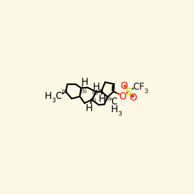 C[C@H]1CC[C@H]2C[C@@H]3[C@H](CC[C@]4(C)C(OS(=O)(=O)C(F)(F)F)=CC[C@@H]34)CC2C1